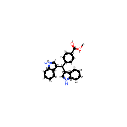 COC(=O)c1ccc(C(c2c[nH]c3ccccc23)c2c[nH]c3ccccc23)cc1